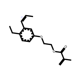 C=C(C)C(=O)OCCOc1ccc(CC)c(/C=C\C)c1